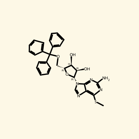 CSc1nc(N)nc2c1ncn2[C@@H]1O[C@H](COC(c2ccccc2)(c2ccccc2)c2ccccc2)[C@@H](O)[C@H]1O